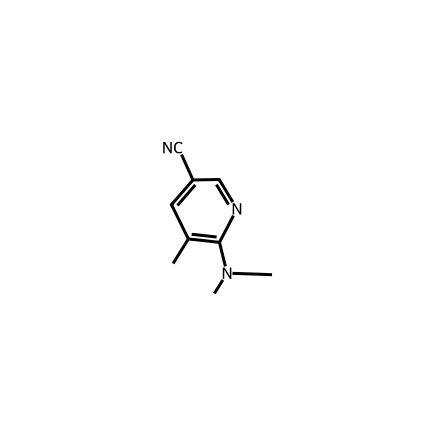 Cc1cc(C#N)cnc1N(C)C